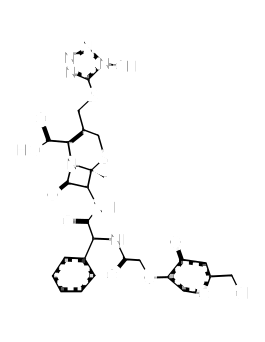 Cn1nnnc1SCC1=C(C(=O)O)N2C(=O)C(NC(=O)C(NC(=O)COc3coc(CCl)cc3=O)c3ccccc3)[C@H]2SC1